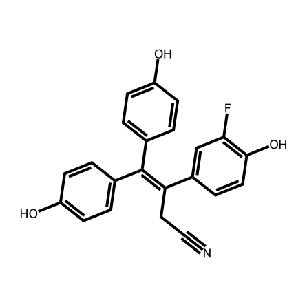 N#CCC(=C(c1ccc(O)cc1)c1ccc(O)cc1)c1ccc(O)c(F)c1